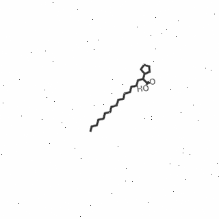 CCCCCCCCCCCCCCCCC(C(=O)O)C1CCCC1